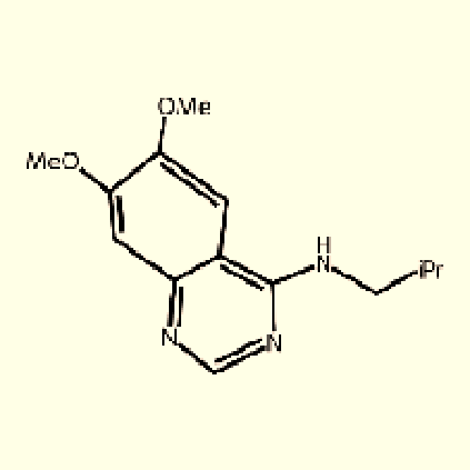 COc1cc2ncnc(NCC(C)C)c2cc1OC